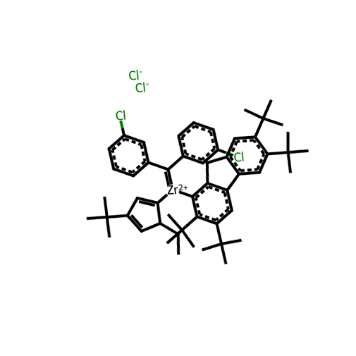 CCC1C=C(C(C)(C)C)C=[C]1[Zr+2](=[C](c1cccc(Cl)c1)c1cccc(Cl)c1)[c]1c2c(cc(C(C)(C)C)c1C(C)(C)C)-c1cc(C(C)(C)C)c(C(C)(C)C)cc1C2.[Cl-].[Cl-]